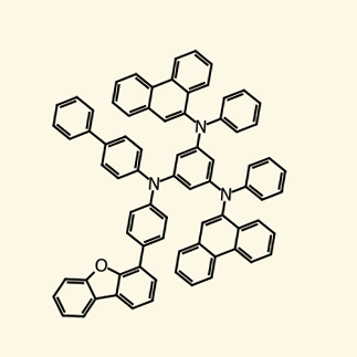 c1ccc(-c2ccc(N(c3ccc(-c4cccc5c4oc4ccccc45)cc3)c3cc(N(c4ccccc4)c4cc5ccccc5c5ccccc45)cc(N(c4ccccc4)c4cc5ccccc5c5ccccc45)c3)cc2)cc1